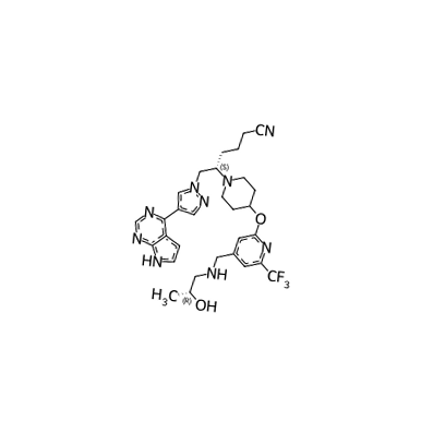 C[C@@H](O)CNCc1cc(OC2CCN([C@@H](CCCC#N)Cn3cc(-c4ncnc5[nH]ccc45)cn3)CC2)nc(C(F)(F)F)c1